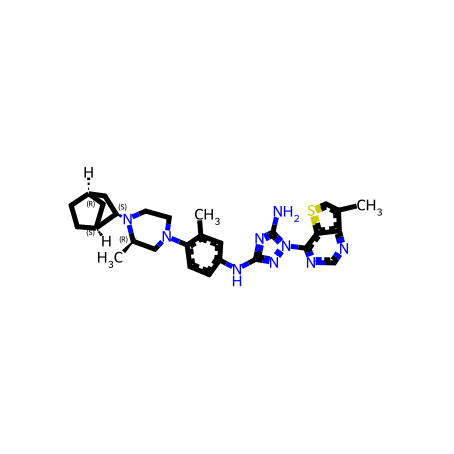 Cc1cc(Nc2nc(N)n(-c3ncnc4c(C)csc34)n2)ccc1N1CCN([C@H]2C[C@@H]3CC[C@H]2C3)[C@H](C)C1